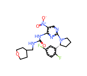 O=C(NCC1CCOCC1)Nc1nc(N2CCC[C@@H]2c2cc(F)ccc2F)ncc1[N+](=O)[O-]